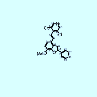 COc1ccc(C=Cc2c(Cl)cncc2Cl)c2cc(-c3ccncc3)oc12